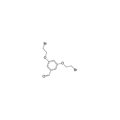 O=Cc1cc(OCCBr)cc(OCCBr)c1